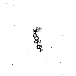 CC(C)c1ccc(N2CC[C@]3(CCC4C=C(C(=O)NO)C=CC4C3)C2=O)cn1